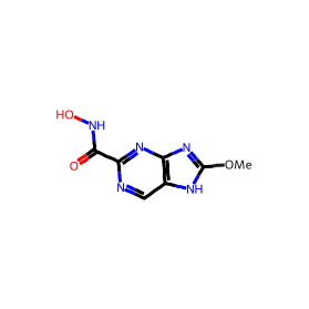 COc1nc2nc(C(=O)NO)ncc2[nH]1